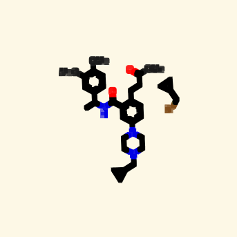 BrCC1CC1.COC(=O)CCc1ccc(N2CCN(CC3CC3)CC2)cc1C(=O)NC(C)c1ccc(OC)c(OC)c1